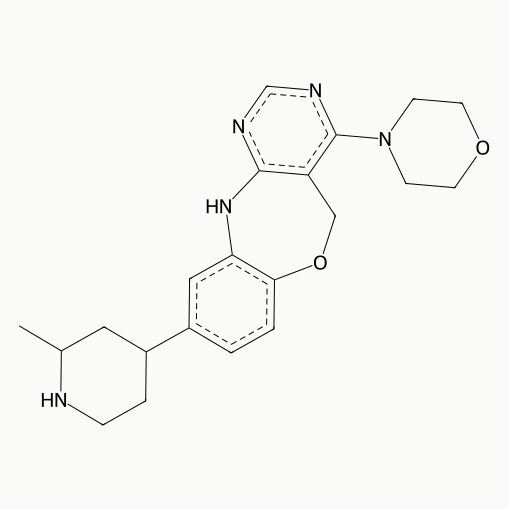 CC1CC(c2ccc3c(c2)Nc2ncnc(N4CCOCC4)c2CO3)CCN1